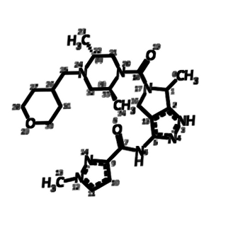 CC1c2[nH]nc(NC(=O)c3ccn(C)n3)c2CN1C(=O)N1C[C@@H](C)N(CC2CCOCC2)C[C@@H]1C